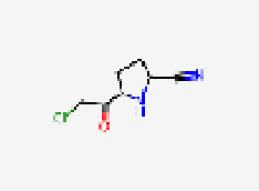 N#CC1CCC(C(=O)CCl)N1